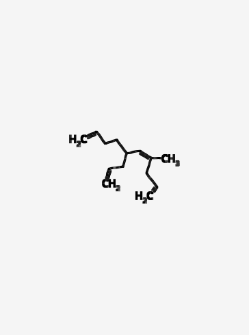 C=CCCC(/C=C(/C)CC=C)CC=C